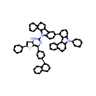 C1=C(c2ccccc2)SC2=C(c3ccc(-c4cccc5ccccc45)cc3)N=C(n3c4ccc(-c5cccc6c5c5c7ccccc7ccc5n6-c5ccccc5)cc4c4ccc5ccccc5c43)NC12